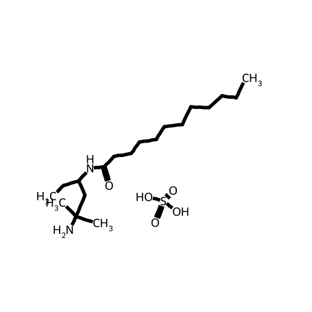 CCCCCCCCCCCC(=O)NC(CC)CC(C)(C)N.O=S(=O)(O)O